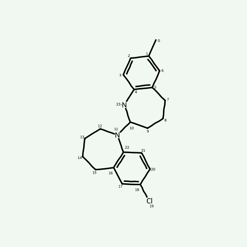 Cc1ccc2c(c1)CCCC(N1CCCCc3cc(Cl)ccc31)[N]2